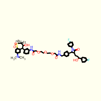 CCCCC1(CC)CS(=O)(=O)c2ccc(N(C)C)cc2C(c2cccc(NC(=O)COCCOCCOCC(=O)NCc3ccc(C4C(CCC(O)c5ccc(F)cc5)C(=O)N4c4ccc(F)cc4)cc3)c2)C1O